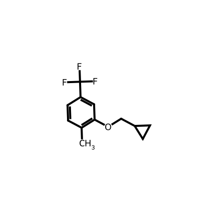 Cc1ccc(C(F)(F)F)cc1OCC1CC1